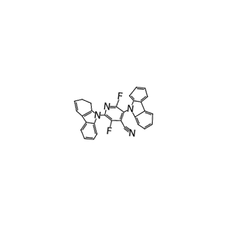 N#Cc1c(F)c(-n2c3c(c4ccccc42)C=CCC3)nc(F)c1-n1c2ccccc2c2ccccc21